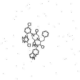 O=C(Nc1ccn2nccc2c1)C(Cc1ccccc1)N1CC(=O)N(c2cc(Cl)ccc2-n2cc(Cl)nn2)CC1=O